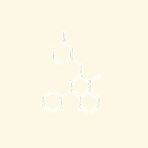 C=C/C=C(\C=C/C)Cn1nc(-c2ccccn2)c2ncccc2c1=S